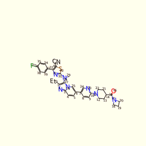 CCc1nc2ccc(-c3ccc(N4CCC(C(=O)N5CCC5)CC4)nc3)cn2c1N(C)c1nc(-c2ccc(F)cc2)c(C#N)s1